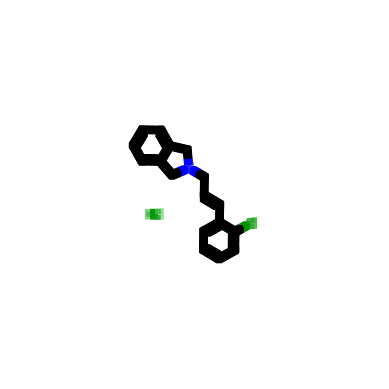 Cl.Clc1ccccc1/C=C/CN1Cc2ccccc2C1